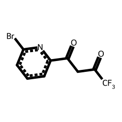 O=C(CC(=O)C(F)(F)F)c1cccc(Br)n1